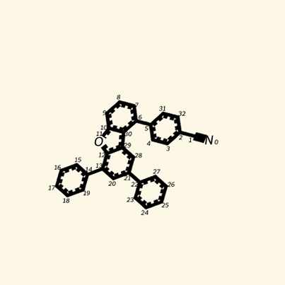 N#Cc1ccc(-c2cccc3oc4c(-c5ccccc5)cc(-c5ccccc5)cc4c23)cc1